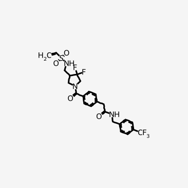 C=CS(=O)(=O)NCC1CN(C(=O)c2ccc(CC(=O)NCc3ccc(C(F)(F)F)cc3)cc2)CC1(F)F